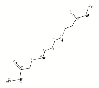 CCCNC(=O)CCNCCCNCCC(=O)NCCC